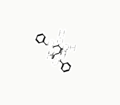 O[C@@H]1[C@@H](OCc2ccccc2)O[C@@H]2COC(c3ccccc3)O[C@H]2[C@@H]1O